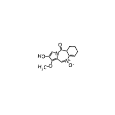 COc1c(O)cn2c1C=[N+]([O-])C1=CCCCC1C2=O